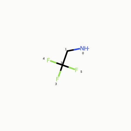 [NH]CC(F)(F)F